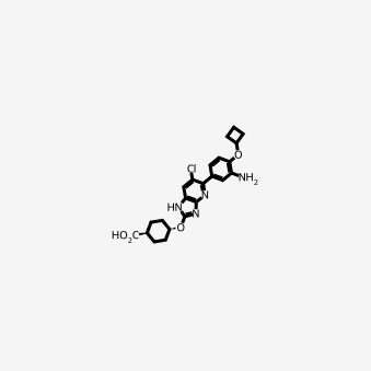 Nc1cc(-c2nc3nc(O[C@H]4CC[C@H](C(=O)O)CC4)[nH]c3cc2Cl)ccc1OC1CCC1